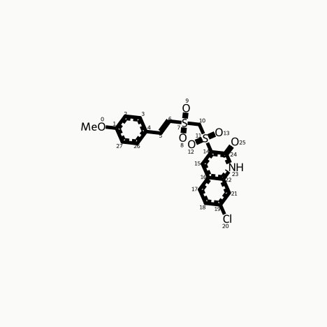 COc1ccc(C=CS(=O)(=O)CS(=O)(=O)c2cc3ccc(Cl)cc3[nH]c2=O)cc1